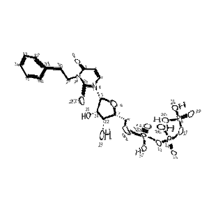 O=c1ccn([C@@H]2O[C@H](COP(=O)(O)OP(=O)(O)OP(=O)(O)O)[C@H](O)[C@@H]2O)c(=O)n1CCc1ccccc1